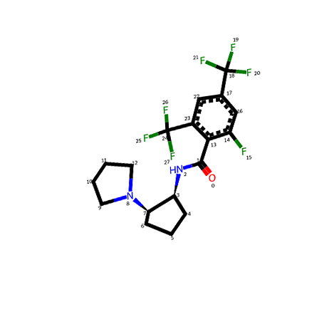 O=C(N[C@H]1CCC[C@H]1N1CCCC1)c1c(F)cc(C(F)(F)F)cc1C(F)(F)F